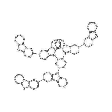 c1ccc2c(c1)sc1ccc(-c3ccc4c(c3)c3ccccc3n4-c3ccc(-n4c5ccccc5c5cc(-c6ccc7sc8ccccc8c7c6)ccc54)c(-n4c5ccccc5c5cc(-c6ccc7sc8ccccc8c7c6)ccc54)n3)cc12